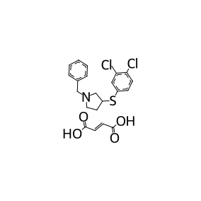 Clc1ccc(SC2CCN(Cc3ccccc3)C2)cc1Cl.O=C(O)C=CC(=O)O